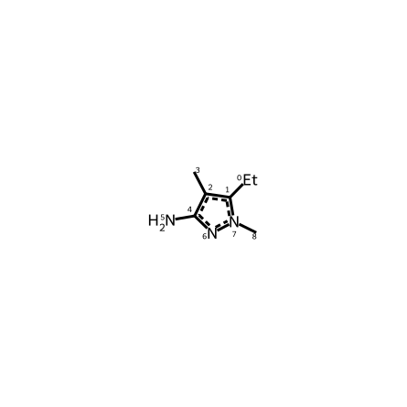 CCc1c(C)c(N)nn1C